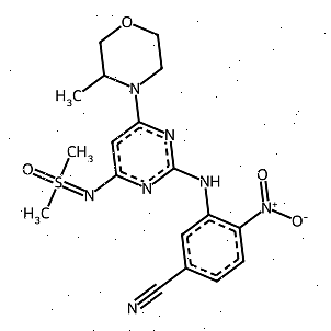 CC1COCCN1c1cc(N=S(C)(C)=O)nc(Nc2cc(C#N)ccc2[N+](=O)[O-])n1